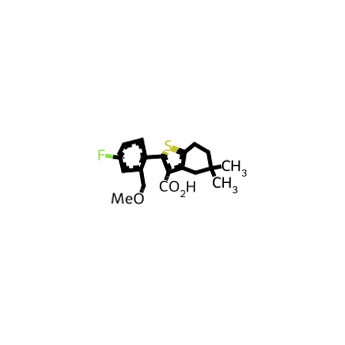 COCc1cc(F)ccc1-c1sc2c(c1C(=O)O)CC(C)(C)CC2